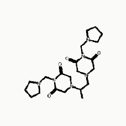 CC(CN1CC(=O)N(CN2CCCC2)C(=O)C1)N1CC(=O)N(CN2CCCC2)C(=O)C1